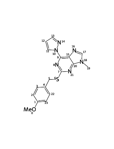 COc1ccc(CSc2nc(-n3cccn3)c3ncn(C)c3n2)cc1